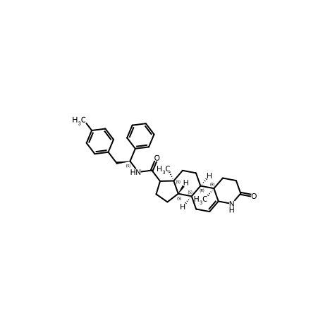 Cc1ccc(C[C@H](NC(=O)C2CC[C@H]3[C@@H]4CC=C5NC(=O)CC[C@]5(C)[C@@H]4CC[C@]23C)c2ccccc2)cc1